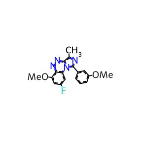 COc1cccc(-c2nc(C)c3nnc4c(OC)cc(F)cc4n23)c1